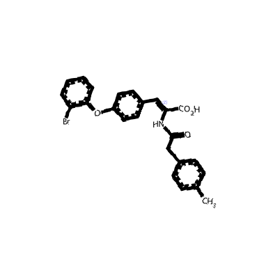 Cc1ccc(CC(=O)N/C(=C\c2ccc(Oc3ccccc3Br)cc2)C(=O)O)cc1